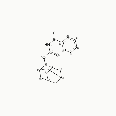 C[C](NC(=O)OC1C2CC3CC(C2)CC1C3)c1ccccc1